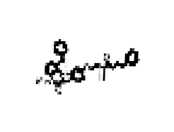 COC(=O)[C@H](Cc1ccc(OCCNC(=O)CCCc2ccccc2)cc1)Nc1ccccc1C(=O)c1ccccc1